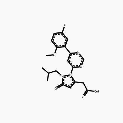 COc1ccc(F)cc1-c1cc(-n2c(CC(=O)O)cc(=O)n2CC(C)C)ncn1